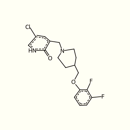 O=c1[nH]cc(Cl)cc1CN1CCC(COc2cccc(F)c2F)CC1